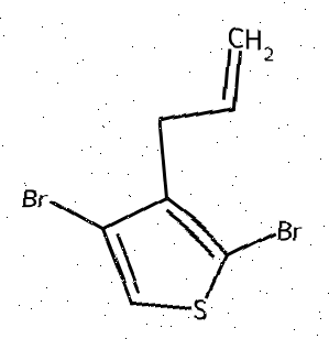 C=CCc1c(Br)csc1Br